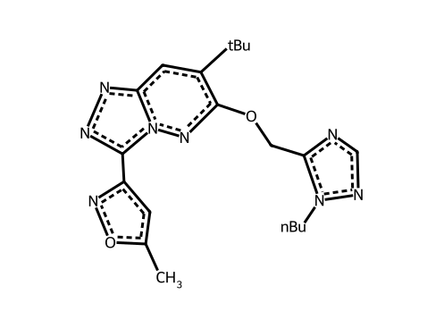 CCCCn1ncnc1COc1nn2c(-c3cc(C)on3)nnc2cc1C(C)(C)C